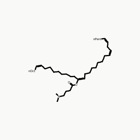 CCCCC/C=C\C/C=C\CCCCCCC/C=C(\CCCCCCCC/C=C\CCCCCCCC)OC(=O)CCCN(C)C